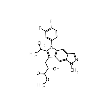 COC(=O)[C@@H](O)Cc1c(C(C)C)n(-c2ccc(F)c(F)c2)c2cc3cnn(C)c3cc12